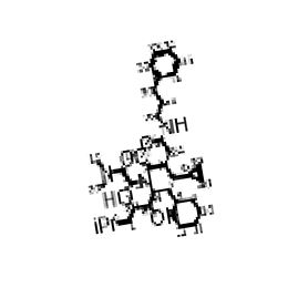 CC(C)C[C@H](O)[C@H](O)[C@H](CC1CCCCC1)N(CC(=O)N(C)C)C(=O)[C@@H](CC(=O)NCCCc1ccccc1)CC1CC1